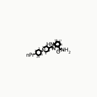 CCC[C@H]1CC[C@H](N2CCC(c3nc4c(C(N)=O)cccc4[nH]3)CC2)CC1